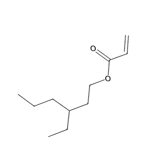 C=CC(=O)OCCC(CC)CCC